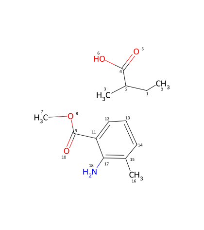 CCC(C)C(=O)O.COC(=O)c1cccc(C)c1N